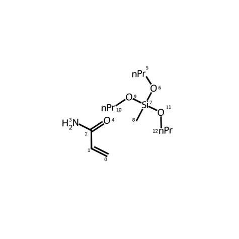 C=CC(N)=O.CCCO[Si](C)(OCCC)OCCC